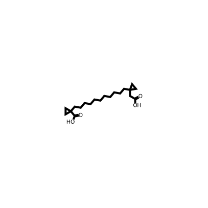 O=C(O)CC1(CCCCCCCCCCCC2(C(=O)O)CC2)CC1